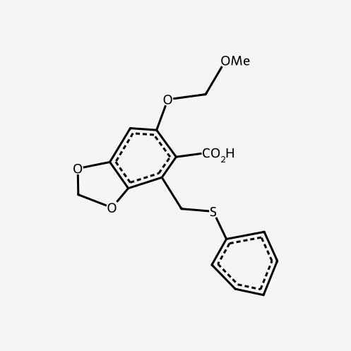 COCOc1cc2c(c(CSc3ccccc3)c1C(=O)O)OCO2